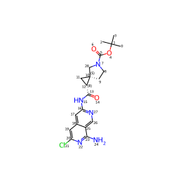 CC(C)(C)OC(=O)N1CC[C@]2(C[C@H]2C(=O)Nc2cc3cc(Cl)nc(N)c3cn2)C1